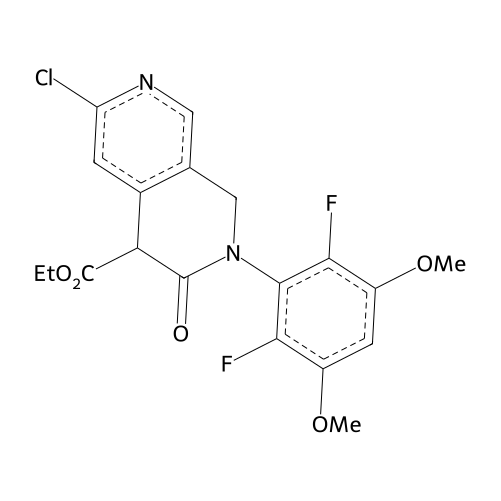 CCOC(=O)C1C(=O)N(c2c(F)c(OC)cc(OC)c2F)Cc2cnc(Cl)cc21